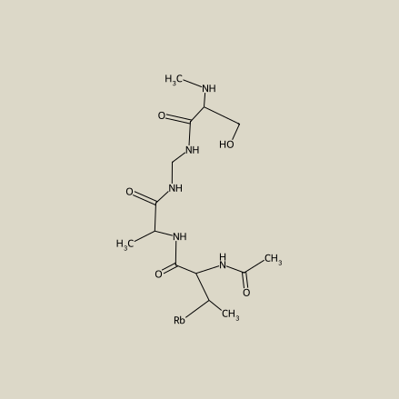 CNC(CO)C(=O)NCNC(=O)C(C)NC(=O)C(NC(C)=O)[CH](C)[Rb]